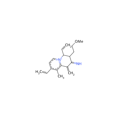 C=Cc1cc[n+]2c(c1C)C(=C)C(=N)C(CCOC)C2C=C